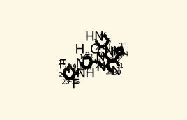 CC1(C)CNCC[C@@H]1Nc1nc(-c2ccnc(Nc3nc(F)ccc3F)c2)nc2cncc(C3=CC=C3)c12